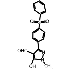 Cn1nc(-c2ccc(S(=O)(=O)c3ccccc3)cc2)c(C=O)c1O